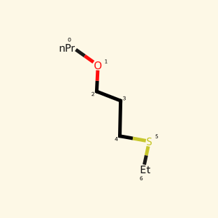 [CH2]CCOCCCSCC